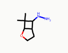 CC1(C)C(NN)C2CCOC21